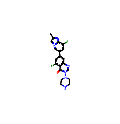 Cc1cn2cc(-c3cc(F)c4c(=O)n(N5CCNCC5)cnc4c3)cc(F)c2n1